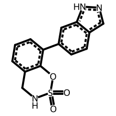 O=S1(=O)NCc2cccc(-c3ccc4cn[nH]c4c3)c2O1